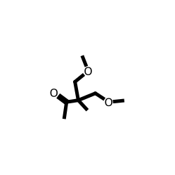 COCC(C)(COC)C(C)=O